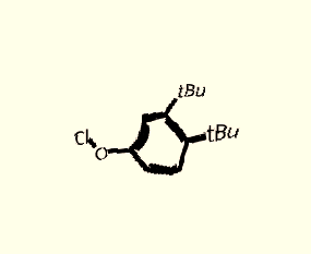 CC(C)(C)c1ccc(OCl)cc1C(C)(C)C